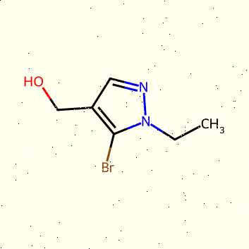 CCn1ncc(CO)c1Br